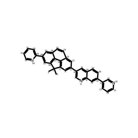 CC1(C)c2cc(-c3cnc4cc(-c5cccnc5)ccc4c3)cc3ccc4cc(-c5ccccn5)cc1c4c23